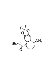 CC(C)(C)OC(=O)N1CCCC(N)c2cc3c(cc21)OC(F)(F)O3